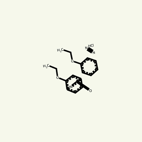 CCOc1cc2ccc1[nH]c2=O.CCOc1ccccc1.Cl.N#N